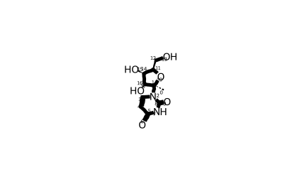 C[C@@]1(n2ccc(=O)[nH]c2=O)O[C@H](CO)[C@@H](O)[C@H]1O